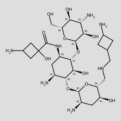 NC1CC(CNC[C@H]2O[C@H](O[C@H]3[C@H](O)[C@@H](O[C@H]4O[C@H](CO)[C@@H](O)[C@H](N)[C@H]4O)[C@H](NC(=O)C4(O)CC(N)C4)C[C@@H]3N)[C@H](N)C[C@@H]2O)C1